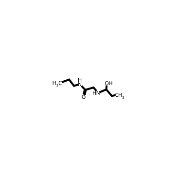 CCCNC(=O)CNC(O)CC